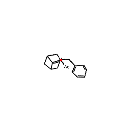 CC(=O)C=C1C2CC1CN(Cc1ccccc1)C2